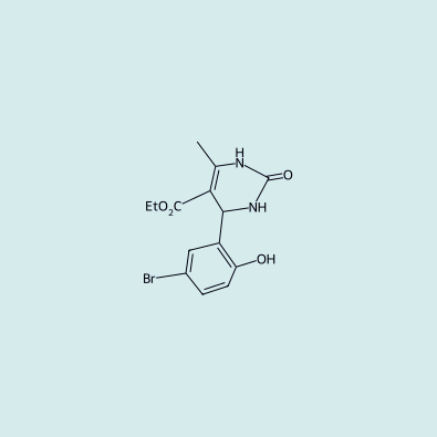 CCOC(=O)C1=C(C)NC(=O)NC1c1cc(Br)ccc1O